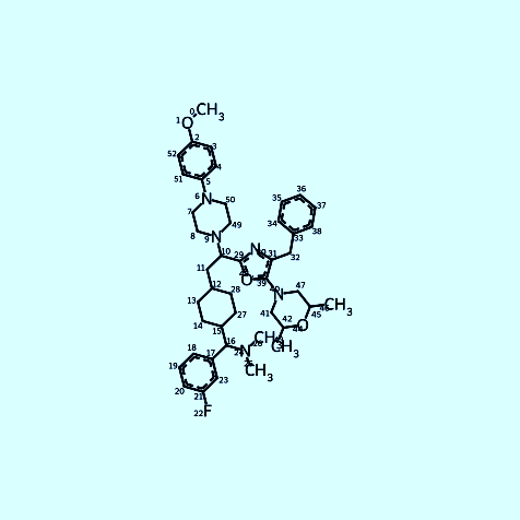 COc1ccc(N2CCN(C(CC3CCC(C(c4cccc(F)c4)N(C)C)CC3)c3nc(Cc4ccccc4)c(N4CC(C)OC(C)C4)o3)CC2)cc1